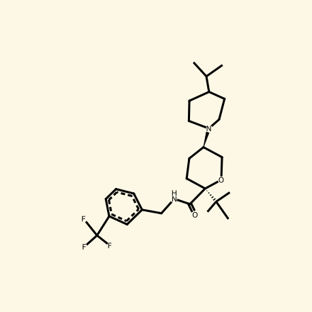 CC(C)C1CCN([C@@H]2CC[C@@](C(=O)NCc3cccc(C(F)(F)F)c3)(C(C)(C)C)OC2)CC1